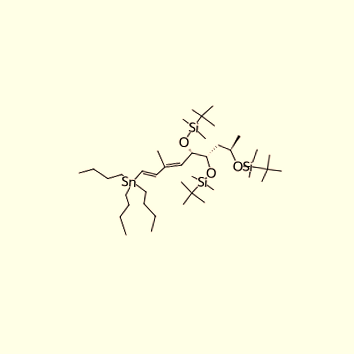 CCC[CH2][Sn](/[CH]=C/C(C)=C/[C@H](O[Si](C)(C)C(C)(C)C)[C@H](C[C@@H](C)O[Si](C)(C)C(C)(C)C)O[Si](C)(C)C(C)(C)C)([CH2]CCC)[CH2]CCC